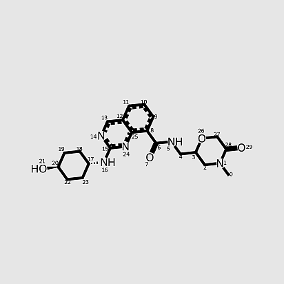 CN1CC(CNC(=O)c2cccc3cnc(N[C@H]4CC[C@H](O)CC4)nc23)OCC1=O